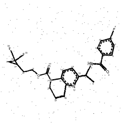 CC(NC(=O)c1ccc(F)cc1)c1ccc2c(n1)CCCN2C(=O)OCCC1CC1(F)F